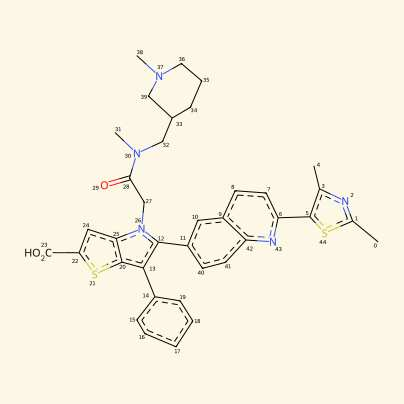 Cc1nc(C)c(-c2ccc3cc(-c4c(-c5ccccc5)c5sc(C(=O)O)cc5n4CC(=O)N(C)CC4CCCN(C)C4)ccc3n2)s1